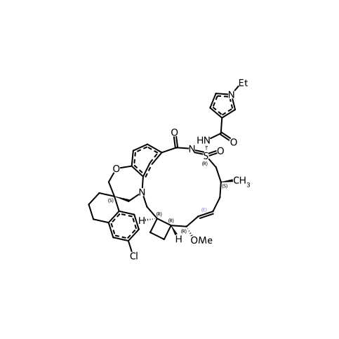 CCn1ccc(C(=O)N[S@@]2(=O)=NC(=O)c3ccc4c(c3)N(C[C@@H]3CC[C@H]3[C@@H](OC)/C=C/C[C@H](C)C2)C[C@@]2(CCCc3cc(Cl)ccc32)CO4)c1